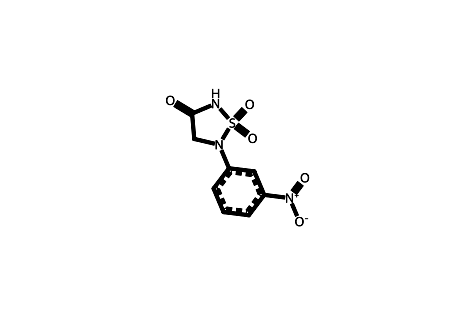 O=C1CN(c2cccc([N+](=O)[O-])c2)S(=O)(=O)N1